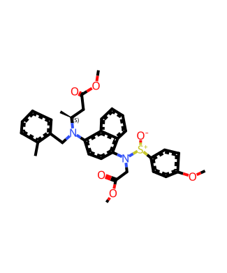 COC(=O)C[C@H](C)N(Cc1ccccc1C)c1ccc(N(CC(=O)OC)[S+]([O-])c2ccc(OC)cc2)c2ccccc12